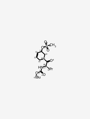 CC(C)[C@@H](NC(=O)OC(C)(C)C)C(=O)N1CC=CC(OS(C)(=O)=O)C1